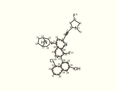 CN1CC(F)CC1C#Cc1cc(N2CC3CCC(C2)N3)c2cnc(-c3cc(O)cc4cccc(Cl)c34)c(F)c2n1